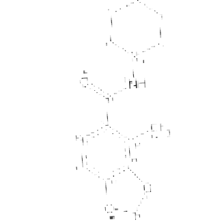 O=C(NN1CCCCC1)c1ccc2c(c1C(F)(F)F)OCO2